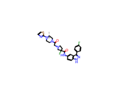 C[C@@H]1CN(C(=O)CN2CCC(F)(C(=O)Nc3ccc4[nH]nc(-c5ccc(F)cc5)c4c3)C2)CCN1c1nccs1